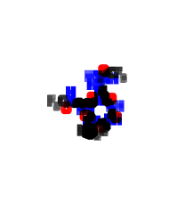 N=C(NCC/C=C1\NC(=O)/C(=C/CCCNC(=O)C(F)(F)F)NC(=O)[C@@H](Cc2ccccc2)NC(=O)/C(=C\C(=O)O)NC(=O)CNC1=O)NC(=O)C(F)(F)F